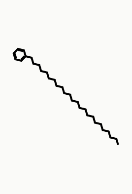 CCCCCCCCCCCCCCCCCCCCCCCCc1ccccc1